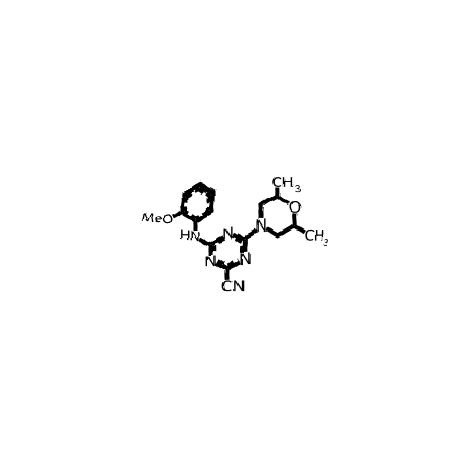 COc1ccccc1Nc1nc(C#N)nc(N2CC(C)OC(C)C2)n1